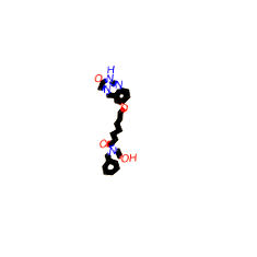 O=C1CN2Cc3cc(OCCCCCCC(=O)N(CCO)CC4CCCCC4)ccc3N=C2N1